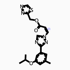 Cc1cc(OC(C)C)cc(-c2ncn(/C=C\C(=O)OCc3nncs3)n2)c1